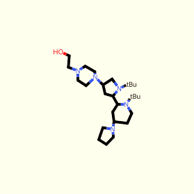 CC(C)(C)N1CCC(N2CCCC2)CC1C1CC(N2CCN(CCO)CC2)CN1C(C)(C)C